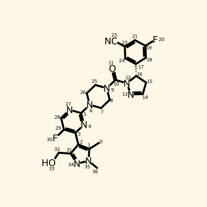 Cc1c(-c2nc(N3CCN(C(=O)N4N=CC[C@H]4c4cc(F)cc(C#N)c4)CC3)ncc2F)c(CO)nn1C